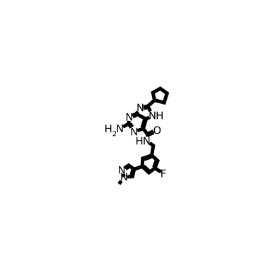 Cn1cc(-c2cc(F)cc(CNC(=O)c3nc(N)nc4nc(C5CCCC5)[nH]c34)c2)cn1